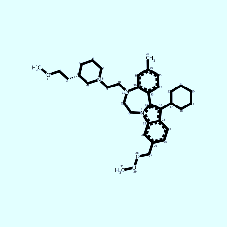 COCC[C@@H]1CCCN(CCN2CCn3c(c(C4CCCCC4)c4ccc(COOC)cc43)-c3ccc(C)cc32)C1